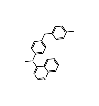 Cc1ccc(Cc2ccc(N(C)c3ncnc4ccccc34)cc2)cc1